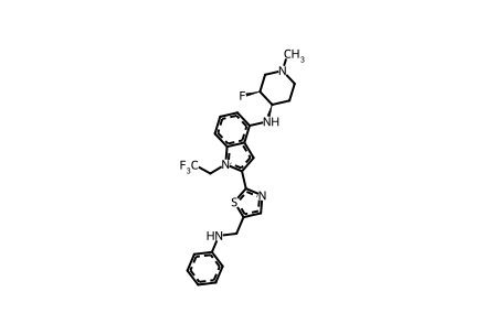 CN1CC[C@@H](Nc2cccc3c2cc(-c2ncc(CNc4ccccc4)s2)n3CC(F)(F)F)[C@@H](F)C1